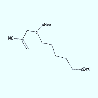 C=C(C#N)CN(CCCCCC)CCCCCCCCCCCCCCC